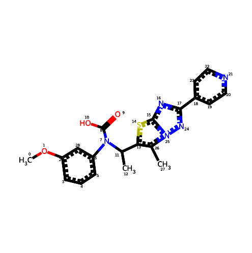 COc1cccc(N(C(=O)O)C(C)c2sc3nc(-c4ccncc4)nn3c2C)c1